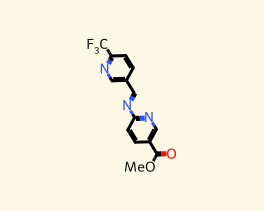 COC(=O)c1ccc(N=Cc2ccc(C(F)(F)F)nc2)nc1